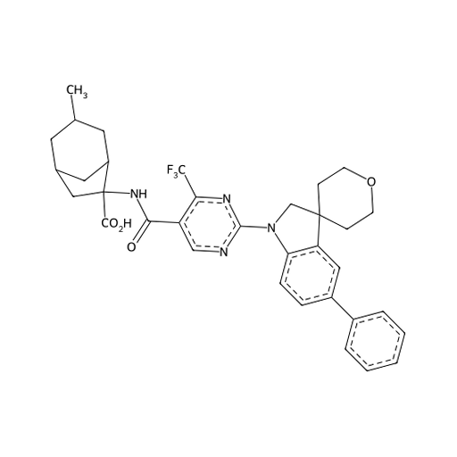 CC1CC2CC(C1)C(NC(=O)c1cnc(N3CC4(CCOCC4)c4cc(-c5ccccc5)ccc43)nc1C(F)(F)F)(C(=O)O)C2